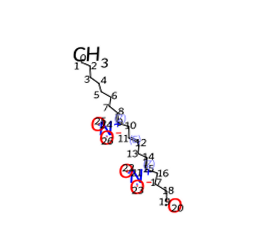 CCCCCCCC/C=C(/C/C=C/C/C=C(/CCC[C]=O)[N+](=O)[O-])[N+](=O)[O-]